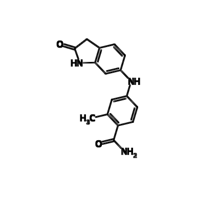 Cc1cc(Nc2ccc3c(c2)NC(=O)C3)ccc1C(N)=O